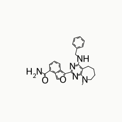 CN1CCCCc2c(NCc3ccccc3)nc(-c3occ4c(C(N)=O)cccc34)nc21